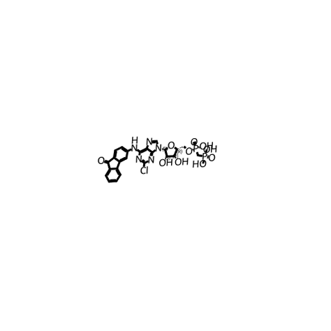 O=C1c2ccccc2-c2cc(Nc3nc(Cl)nc4c3ncn4[C@@H]3O[C@H](COP(=O)(O)CP(=O)(O)O)[C@H](O)[C@@H]3O)ccc21